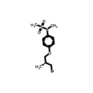 C[C@H](CBr)COc1ccc(N(C)S(C)(=O)=O)cc1